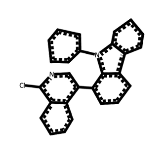 Clc1ncc(-c2cccc3c4ccccc4n(-c4ccccc4)c23)c2ccccc12